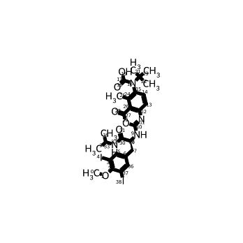 COc1c(I)cc(C[C@H](Nc2nc3ccc(N(C(=O)O)C(C)(C)C)c(C)c3c(=O)o2)C(=O)NC(C)C)cc1I